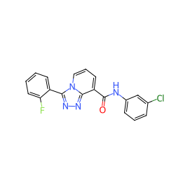 O=C(Nc1cccc(Cl)c1)c1cccn2c(-c3ccccc3F)nnc12